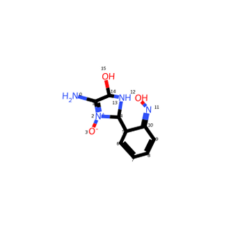 NC1=[N+]([O-])C(C2C=CC=C/C2=N/O)NC1O